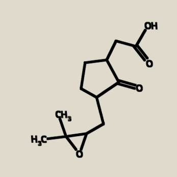 CC1(C)OC1CC1CCC(CC(=O)O)C1=O